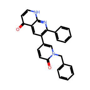 O=c1cc[nH]c2nc(-c3ccccc3)c(-c3ccc(=O)n(Cc4ccccc4)c3)cc12